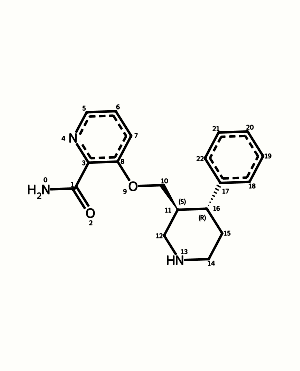 NC(=O)c1ncccc1OC[C@@H]1CNCC[C@H]1c1ccccc1